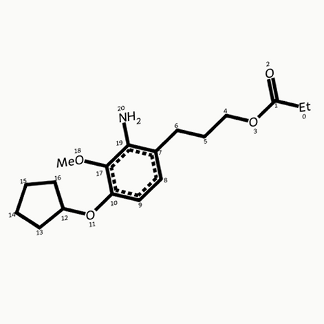 CCC(=O)OCCCc1ccc(OC2CCCC2)c(OC)c1N